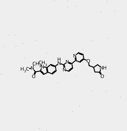 CN(C)C(=O)c1cc2ccc(Nc3nccc(-c4cc(OCC5CNC(=O)C5)ccn4)n3)cc2n1C